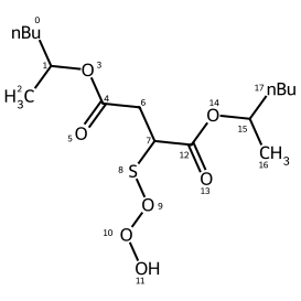 CCCCC(C)OC(=O)CC(SOOO)C(=O)OC(C)CCCC